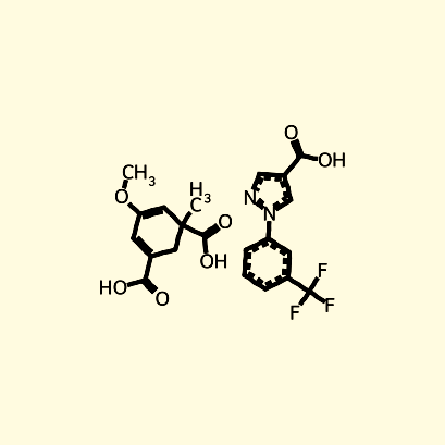 COC1=CC(C)(C(=O)O)CC(C(=O)O)=C1.O=C(O)c1cnn(-c2cccc(C(F)(F)F)c2)c1